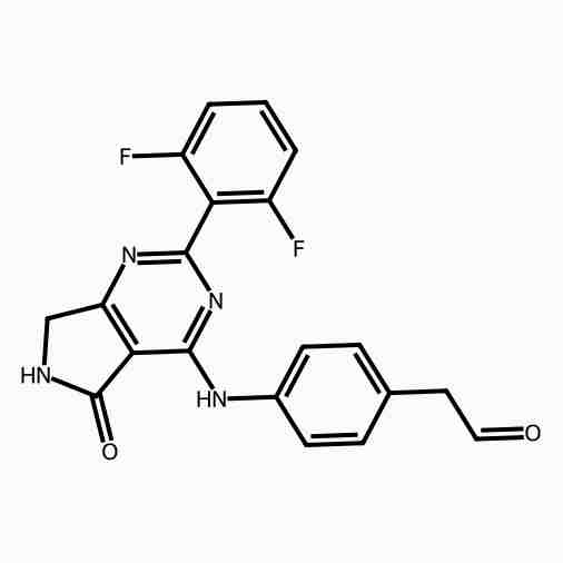 O=CCc1ccc(Nc2nc(-c3c(F)cccc3F)nc3c2C(=O)NC3)cc1